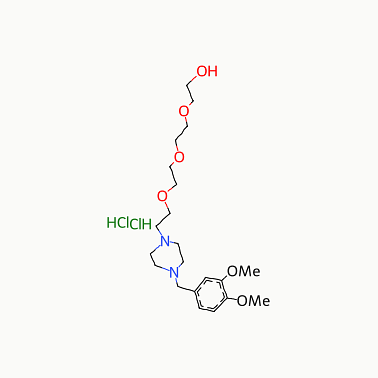 COc1ccc(CN2CCN(CCOCCOCCOCCO)CC2)cc1OC.Cl.Cl